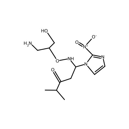 CC(C)C(=O)CC(NOC(CN)CO)n1ccnc1[N+](=O)[O-]